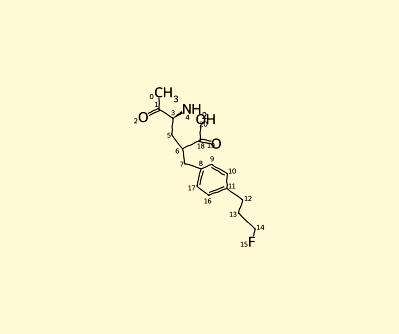 CC(=O)[C@@H](N)CC(Cc1ccc(CCCF)cc1)C(=O)O